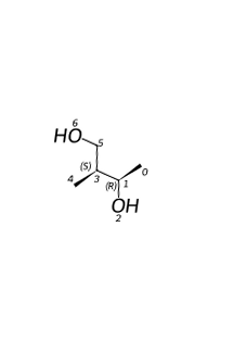 C[C@@H](O)[C@@H](C)CO